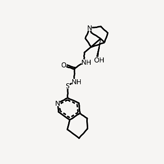 O=C(NC[C@]1(O)CN2CCC1CC2)NSc1cc2c(cn1)CCCC2